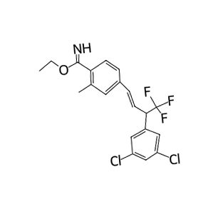 CCOC(=N)c1ccc(/C=C/C(c2cc(Cl)cc(Cl)c2)C(F)(F)F)cc1C